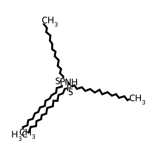 CCCCCCCCCCCCCCCP(=S)(CCCCCCCCCCCCCCC)NP(=S)(CCCCCCCCCCCCCCC)CCCCCCCCCCCCCCC